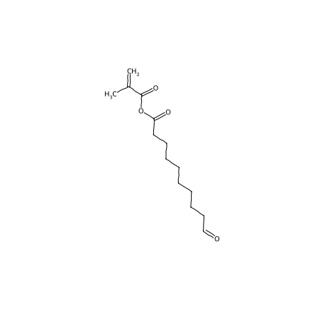 C=C(C)C(=O)OC(=O)CCCCCCCCC=O